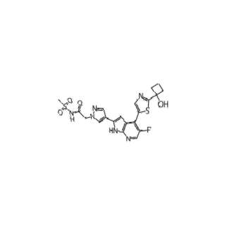 CS(=O)(=O)NC(=O)Cn1cc(-c2cc3c(-c4cnc(C5(O)CCC5)s4)c(F)cnc3[nH]2)cn1